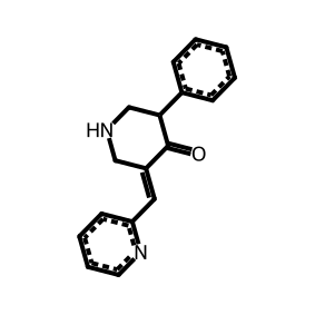 O=C1C(=Cc2ccccn2)CNCC1c1ccccc1